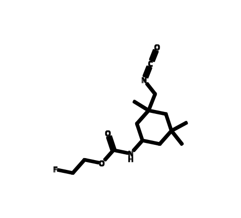 CC1(C)CC(NC(=O)OCCF)CC(C)(CN=C=O)C1